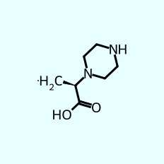 [CH2][C@H](C(=O)O)N1CCNCC1